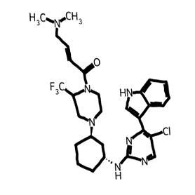 CN(C)C/C=C/C(=O)N1CCN([C@@H]2CCC[C@@H](Nc3ncc(Cl)c(-c4c[nH]c5ccccc45)n3)C2)CC1C(F)(F)F